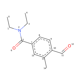 CCN(CC)C(=O)c1ccc(C=O)c(C)c1